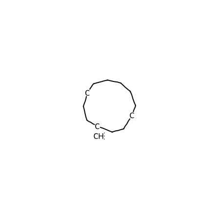 C1CCCCCCCCCCC1.[CH]